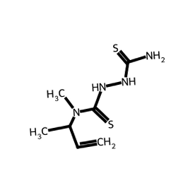 C=CC(C)N(C)C(=S)NNC(N)=S